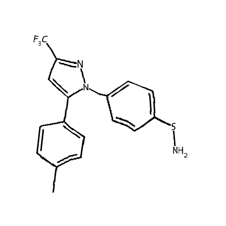 Cc1ccc(-c2cc(C(F)(F)F)nn2-c2ccc(SN)cc2)cc1